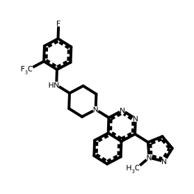 Cn1nccc1-c1nnc(N2CCC(Nc3ccc(F)cc3C(F)(F)F)CC2)c2ccccc12